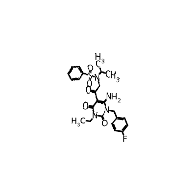 CCn1c(=O)c(C(=O)CN(C(C)C)S(=O)(=O)c2ccccc2)c(N)n(Cc2ccc(F)cc2)c1=O